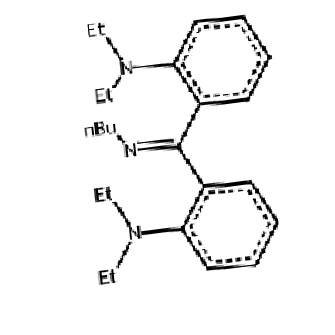 CCCCN=C(c1ccccc1N(CC)CC)c1ccccc1N(CC)CC